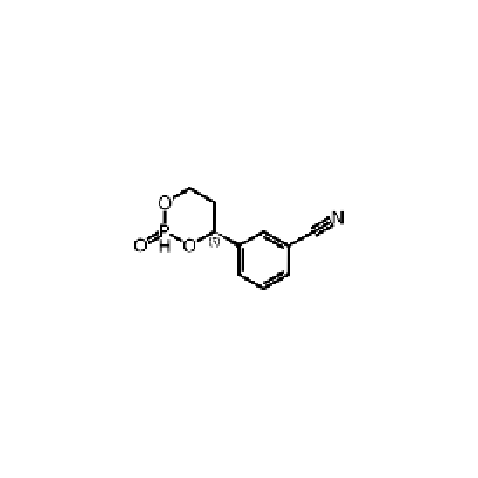 N#Cc1cccc([C@@H]2CCO[PH](=O)O2)c1